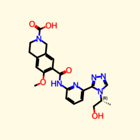 COc1cc2c(cc1C(=O)Nc1cccc(-c3nncn3[C@H](C)CO)n1)CN(C(=O)O)CC2